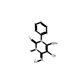 CSc1c(C#N)c(=NC(C)=O)n(C)c(=S)n1-c1ccccc1